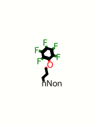 CCCCCCCCCCCCOc1c(F)c(F)c(F)c(F)c1F